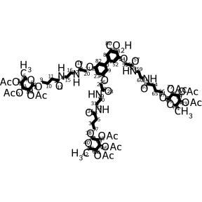 CC(=O)O[C@@H]1[C@@H](OC(C)=O)[C@H](C)O[C@@H](OCCCC(=O)NCCNC(=O)COc2cc(OCC(=O)NCCNC(=O)CCCO[C@@H]3O[C@@H](C)[C@H](OC(C)=O)[C@@H](OC(C)=O)[C@H]3OC(C)=O)cc(-c3cc(OCC(=O)NCCNC(=O)CCCO[C@@H]4O[C@@H](C)[C@H](OC(C)=O)[C@@H](OC(C)=O)[C@H]4OC(C)=O)cc(C(=O)O)c3)c2)[C@@H]1OC(C)=O